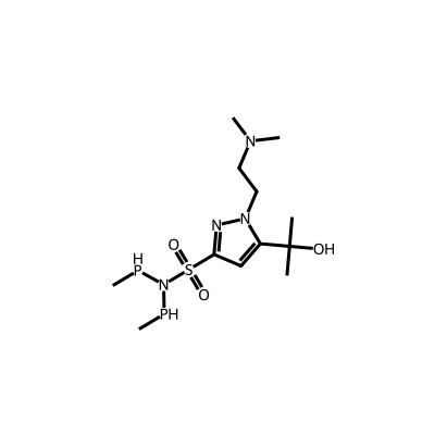 CPN(PC)S(=O)(=O)c1cc(C(C)(C)O)n(CCN(C)C)n1